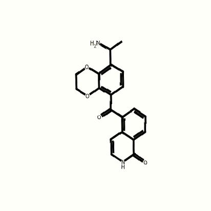 CC(N)c1ccc(C(=O)c2cccc3c(=O)[nH]ccc23)c2c1OCCO2